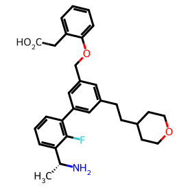 C[C@@H](N)c1cccc(-c2cc(CCC3CCOCC3)cc(COc3ccccc3CC(=O)O)c2)c1F